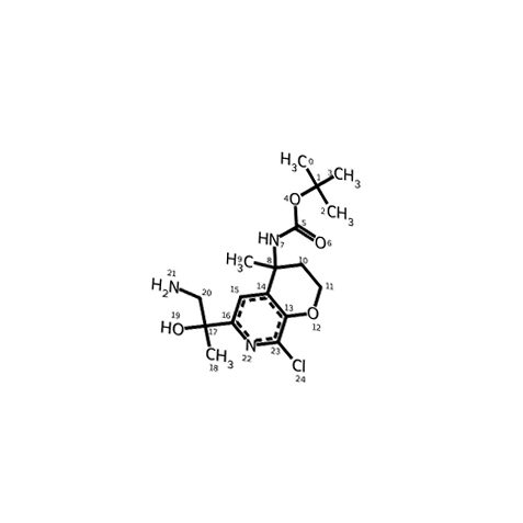 CC(C)(C)OC(=O)NC1(C)CCOc2c1cc(C(C)(O)CN)nc2Cl